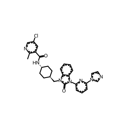 Cc1ncc(Cl)cc1C(=O)N[C@H]1CC[C@H](Cn2c(=O)n(-c3cccc(-n4ccnc4)n3)c3ccccc32)CC1